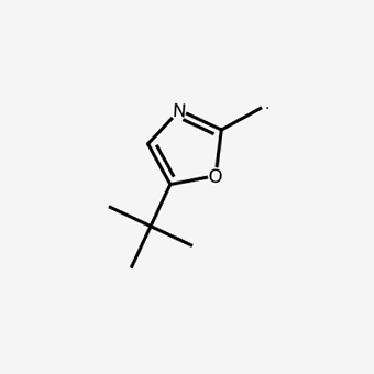 [CH2]c1ncc(C(C)(C)C)o1